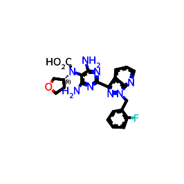 Nc1nc(-c2nn(Cc3ccccc3F)c3ncccc23)nc(N)c1N(C(=O)O)[C@@H]1CCOC1